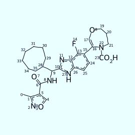 Cc1nocc1C(=O)NC(c1nc2c(F)c(C3=COCCCN3C(=O)O)ccc2[nH]1)C1CCCCCCC1